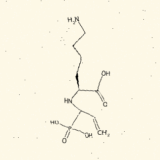 C=CC(N[C@@H](CCCCN)C(=O)O)P(=O)(O)O